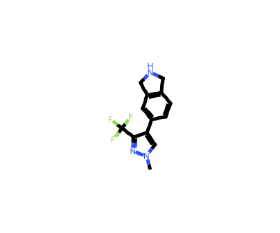 Cn1cc(-c2ccc3c(c2)CNC3)c(C(F)(F)F)n1